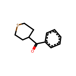 O=C(c1ccccc1)C1CCSCC1